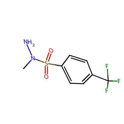 CN(N)S(=O)(=O)c1ccc(C(F)(F)F)cc1